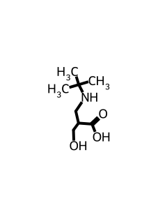 CC(C)(C)NCC(CO)C(=O)O